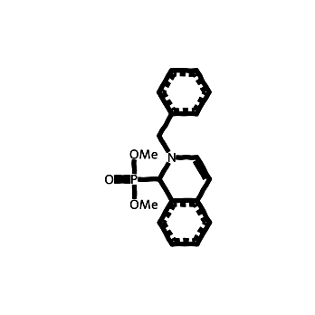 COP(=O)(OC)C1c2ccccc2C=CN1Cc1ccccc1